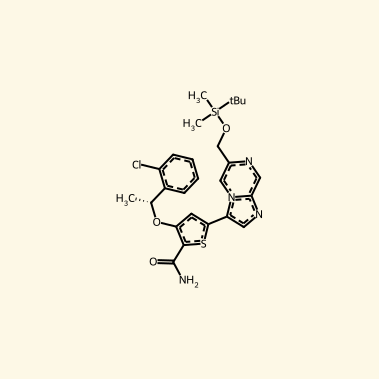 C[C@@H](Oc1cc(-c2cnc3cnc(CO[Si](C)(C)C(C)(C)C)cn23)sc1C(N)=O)c1ccccc1Cl